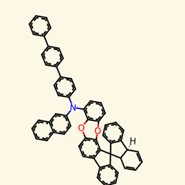 C1=CC2[C@H](C=C1)c1ccccc1C21c2ccccc2-c2ccc3c(c21)Oc1cccc(N(c2ccc(-c4ccc(-c5ccccc5)cc4)cc2)c2ccc4ccccc4c2)c1O3